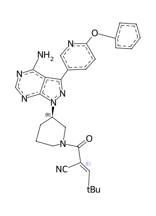 CC(C)(C)/C=C(\C#N)C(=O)N1CCC[C@@H](n2nc(-c3ccc(Oc4ccccc4)nc3)c3c(N)ncnc32)C1